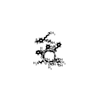 CC(O)[C@@H]1NC(=O)[C@H](CCCCN)NC(=O)[C@@H](Cc2c[nH]c3ccccc23)NC(=O)[C@H](Cc2ccccc2)NC(=O)[C@@H](NC(=O)[C@H](N)Cc2ccccc2)CSSC[C@@H](C(=O)N[C@H](CO)[C@@H](C)O)NC1=O.COCCCC/C(=N\OCCN)c1ccc(C(F)(F)F)cc1